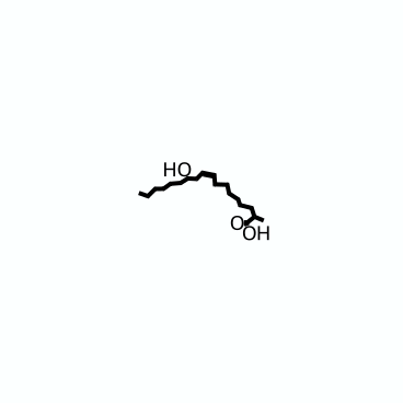 CCCCCC[C@@H](O)C/C=C\CCCCCCC(C)C(=O)O